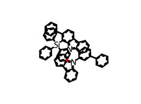 c1ccc(-c2cccc(-n3c4ccccc4c4cccc(-n5c6ccccc6c6ccc(-c7ccccc7)c([Si](c7ccccc7)(c7ccccc7)c7ccccc7)c65)c43)c2)cc1